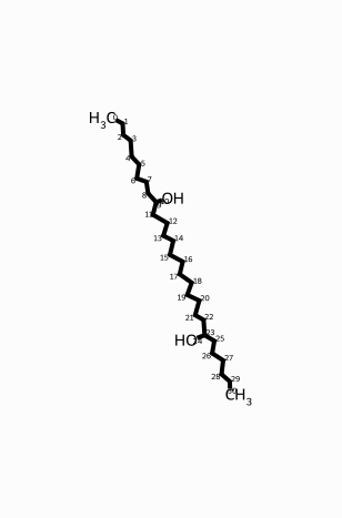 CCCCCCCCCC(O)CCCCCCCCCCCCC(O)CCCCCC